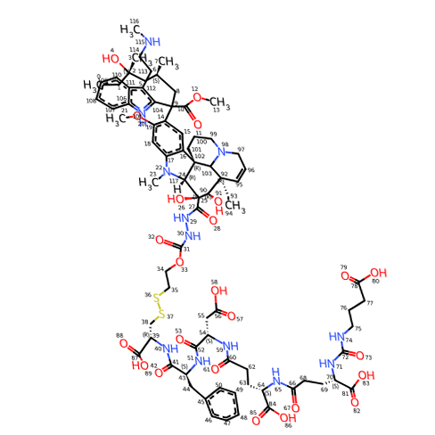 CC[C@](C)(O)C[C@@H](C)CC(C(=O)OC)(c1cc2c(cc1OC)N(C)[C@H]1[C@@](O)(C(=O)NNC(=O)OCCSSC[C@H](NC(=O)[C@H](Cc3ccccc3)NC(=O)[C@H](CC(=O)O)NC(=O)CC[C@H](NC(=O)CC[C@H](NC(=O)NCCCC(=O)O)C(=O)O)C(=O)O)C(=O)O)[C@H](O)[C@]3(CC)C=CCN4CCC[C@]21C43)c1[nH]c2ccccc2c1CCNC